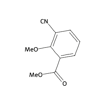 [C-]#[N+]c1cccc(C(=O)OC)c1OC